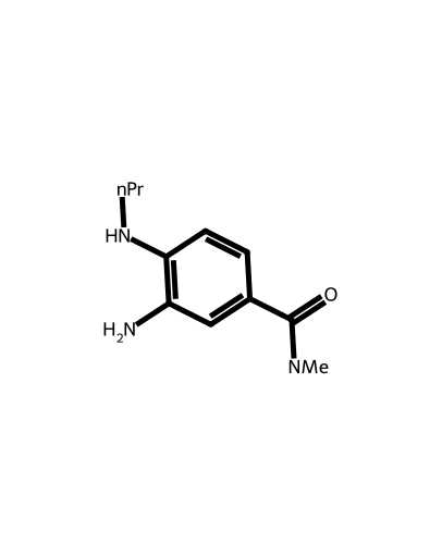 CCCNc1ccc(C(=O)NC)cc1N